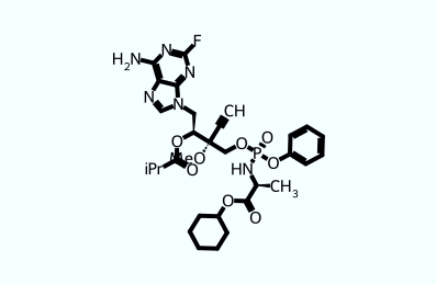 C#C[C@](COP(=O)(N[C@@H](C)C(=O)OC1CCCCC1)Oc1ccccc1)(OC)[C@H](Cn1cnc2c(N)nc(F)nc21)OC(=O)C(C)C